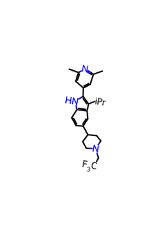 Cc1cc(-c2[nH]c3ccc(C4CCN(CC(F)(F)F)CC4)cc3c2C(C)C)cc(C)n1